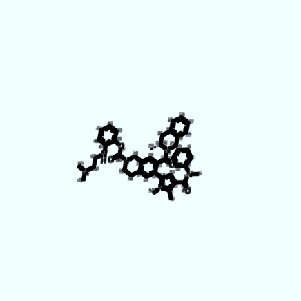 Cc1c(C(=O)N(C)c2ccccc2)cc(-c2cc3c(cc2C(=O)N2Cc4ccccc4C[C@H]2C)CN(C(=O)Oc2ccccc2NCCN(C)C)CC3)n1C